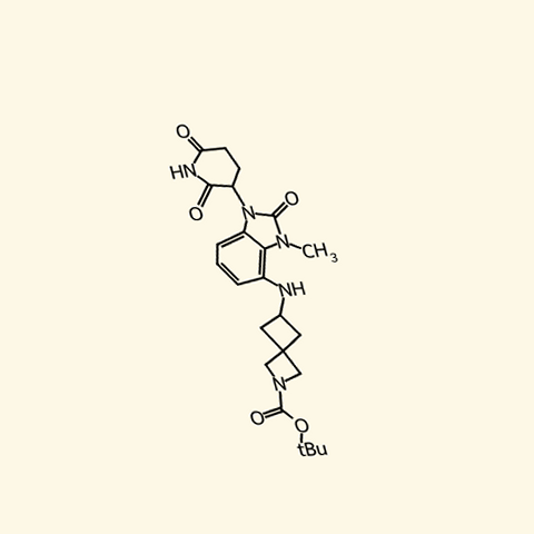 Cn1c(=O)n(C2CCC(=O)NC2=O)c2cccc(NC3CC4(C3)CN(C(=O)OC(C)(C)C)C4)c21